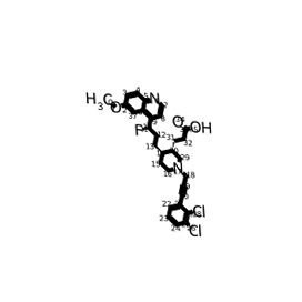 COc1ccc2nccc([C@H](F)CC[C@@H]3CCN(CC#Cc4cccc(Cl)c4Cl)C[C@H]3CCC(=O)O)c2c1